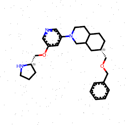 c1ccc(COC[C@H]2CCC3CCN(c4cncc(OC[C@@H]5CCCN5)c4)CC3C2)cc1